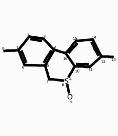 Cc1ccc2c(c1)C[S+]([O-])c1cc(C)ccc1-2